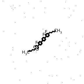 C/C=C/CCC1OCC(c2ccc(-c3ccc(-c4ccc(CCCCC)c(F)c4F)cc3)cc2F)CO1